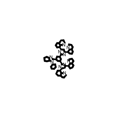 c1ccc(-n2c(-c3cc(-c4nc(-c5cccc6cccnc56)cc(-c5cccc6cccnc56)n4)cc(-c4nc(-c5cccc6cccnc56)cc(-c5cccc6cccnc56)n4)c3)nc3ccccc32)cc1